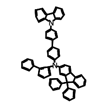 c1ccc(-c2cccc(N(c3ccc(-c4ccc(-n5c6ccccc6c6ccccc65)cc4)cc3)c3ccc4c(c3)C(c3ccccc3)(c3ccccc3)c3ccccc3-4)c2)cc1